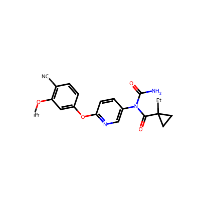 CCC1(C(=O)N(C(N)=O)c2ccc(Oc3ccc(C#N)c(OC(C)C)c3)nc2)CC1